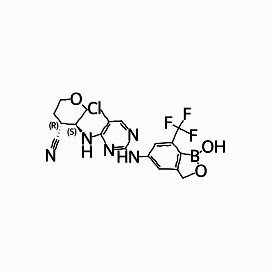 N#C[C@@H]1CCOC[C@H]1Nc1nc(Nc2cc3c(c(C(F)(F)F)c2)B(O)OC3)ncc1Cl